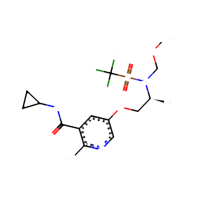 COCN([C@@H](C)COc1cnc(C)c(C(=O)NC2CC2)c1)S(=O)(=O)C(F)(F)F